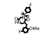 COc1ccc(F)cc1CC1CNC(=O)CN(S(=O)(=O)c2ccc(F)cc2)C1=O